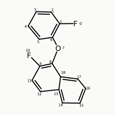 Fc1[c]cccc1Oc1c(F)ccc2ccccc12